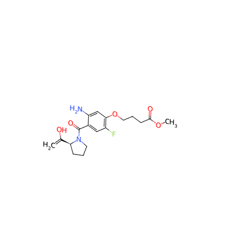 C=C(O)[C@@H]1CCCN1C(=O)c1cc(F)c(OCCCC(=O)OC)cc1N